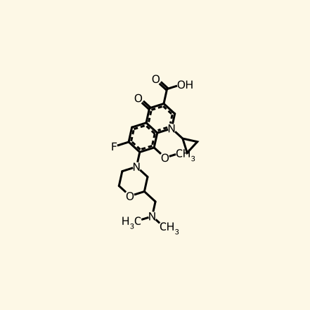 COc1c(N2CCOC(CN(C)C)C2)c(F)cc2c(=O)c(C(=O)O)cn(C3CC3)c12